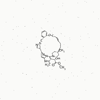 COC(=O)[C@@H](O)c1c(C)nc2cc3nn2c1N1CCC(C)(CC/C=C/COc2ccccc2Cn2cc-3cn2)CC1